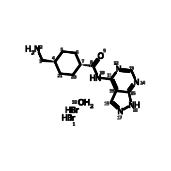 Br.Br.NC[C@H]1CC[C@H](C(=O)Nc2ncnc3[nH]ncc23)CC1.O